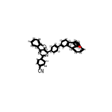 N#Cc1ccc(-c2nc(-c3ccc(-c4ccc5c(c4)/C4=C/C=C\C=C\C56CCCCCC46)cc3)c3oc4ccccc4c3n2)cc1